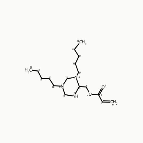 C=CC(=O)OCC1NCN(CCCCC)CN1CCCCC